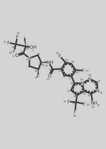 C[C@@](O)(C(=O)N1C[C@H](F)[C@H](NC(=O)c2cc(-c3cc(C(F)(F)F)c4c(N)ncnn34)c(F)cc2F)C1)C(F)(F)F